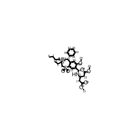 CCCC[C@]1(CC)CS(=O)(=O)c2cc(CNC(CC(=O)OC)CC(=O)OC)c(OC)cc2[C@@H](c2ccccc2)N1